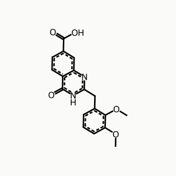 COc1cccc(Cc2nc3cc(C(=O)O)ccc3c(=O)[nH]2)c1OC